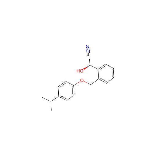 CC(C)c1ccc(OCc2ccccc2[C@@H](O)C#N)cc1